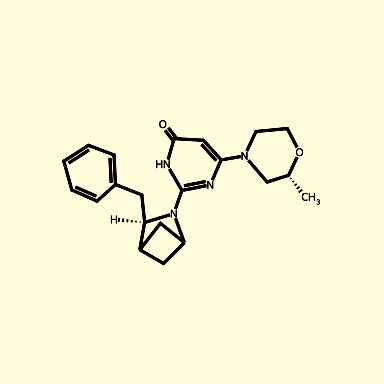 C[C@@H]1CN(c2cc(=O)[nH]c(N3C4CC(C4)[C@H]3Cc3ccccc3)n2)CCO1